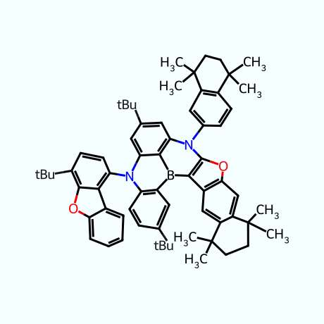 CC(C)(C)c1ccc2c(c1)B1c3c(cc(C(C)(C)C)cc3N2c2ccc(C(C)(C)C)c3oc4ccccc4c23)N(c2ccc3c(c2)C(C)(C)CCC3(C)C)c2oc3cc4c(cc3c21)C(C)(C)CCC4(C)C